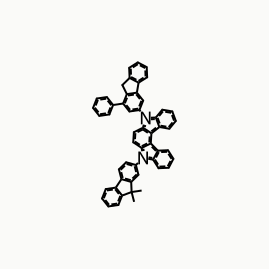 CC1(C)c2ccccc2-c2ccc(-n3c4ccccc4c4c5c6ccccc6n(-c6cc(-c7ccccc7)c7c(c6)-c6ccccc6C7)c5ccc43)cc21